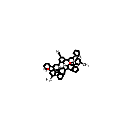 Cc1cc(C)cc(-c2ccc3c4ccc(-c5cc(C)cc(C)c5)cc4n(-c4c(-c5cc(-c6ccccc6)nc(-c6ccccc6)n5)cc(C#N)cc4-c4cc(-c5ccccc5)nc(-c5ccccc5)n4)c3c2)c1